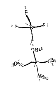 CCCCCCCCCC[P+](CCCC)(CCCC)CCCC.F[B-](F)(F)F